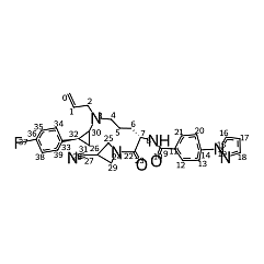 C=CCN(CCC[C@H](NC(=O)c1ccc(-n2cccn2)cc1)C(=O)N1CC(C#N)C1)C1C[C@H]1c1ccc(F)cc1